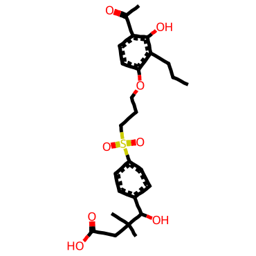 CCCc1c(OCCCS(=O)(=O)c2ccc(C(O)C(C)(C)CC(=O)O)cc2)ccc(C(C)=O)c1O